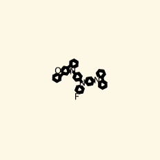 Fc1ccc(N(c2ccc(-n3c4ccccc4c4ccccc43)cc2)c2ccc(-n3c4ccccc4c4cc5oc6ccccc6c5cc43)cc2)cc1